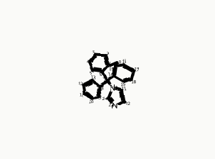 Cc1ccccc1C(c1ccccc1)(c1ccccc1)n1c[c]nc1